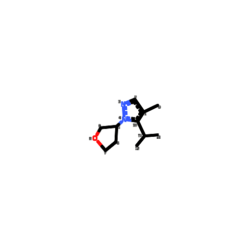 Cc1cnn(C2CCOC2)c1C(C)C